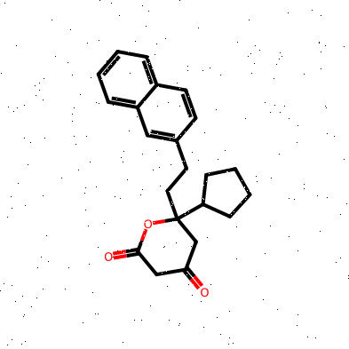 O=C1CC(=O)OC(CCc2ccc3ccccc3c2)(C2CCCC2)C1